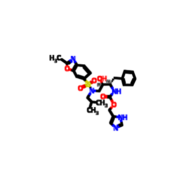 Cc1nc2ccc(S(=O)(=O)N(CC(C)C)C[C@@H](O)[C@H](Cc3ccccc3)NC(=O)OCc3cnc[nH]3)cc2o1